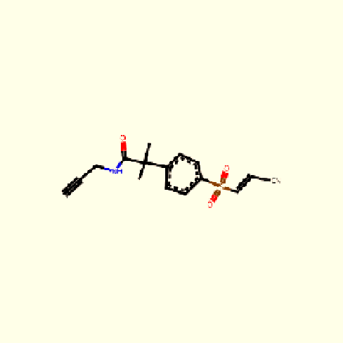 C#CCNC(=O)C(C)(C)c1ccc(S(=O)(=O)C=CC#N)cc1